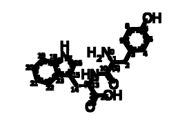 N[C@@H](Cc1ccc(O)cc1)C(=O)N[C@@H](Cc1c[nH]c2ccccc12)C(=O)O